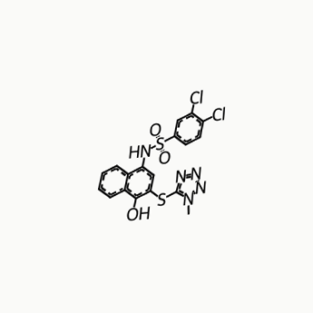 Cn1nnnc1Sc1cc(NS(=O)(=O)c2ccc(Cl)c(Cl)c2)c2ccccc2c1O